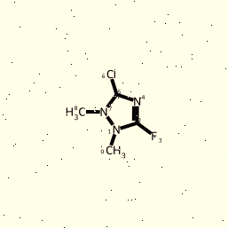 CN1C(F)=NC(Cl)N1C